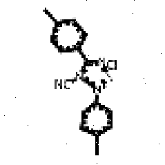 Cc1ccc(-c2nn[n+](-c3ccc(C)cc3)n2C#N)cc1.[Cl-]